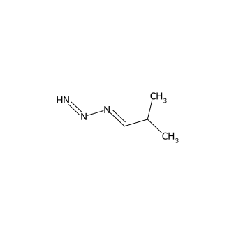 CC(C)/C=N/N=N